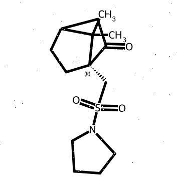 CC1(C)C2CC[C@]1(CS(=O)(=O)N1CCCC1)C(=O)C2